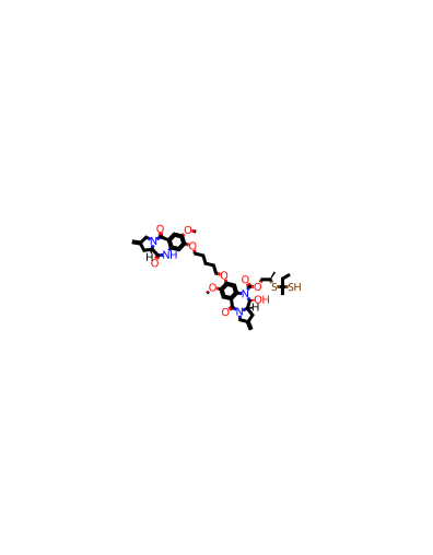 C=C1C[C@H]2C(=O)Nc3cc(OCCCCCOc4cc5c(cc4OC)C(=O)N4CC(=C)C[C@H]4[C@H](O)N5C(=O)OC[C@@H](C)SC(C)(S)CC)c(OC)cc3C(=O)N2C1